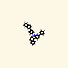 C1=c2ccccc2=C2c3ccc(-c4ccccc4)cc3N(c3ccc(-c4ccc5ccccc5c4)cc3)C2C1